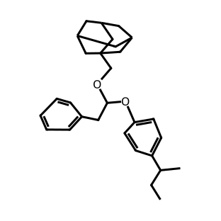 CCC(C)c1ccc(OC(Cc2ccccc2)OCC23CC4CC(CC(C4)C2)C3)cc1